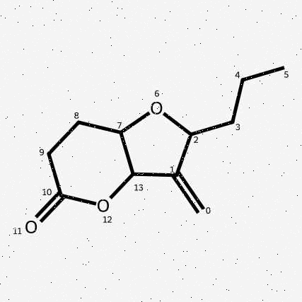 C=C1C(CCC)OC2CCC(=O)OC12